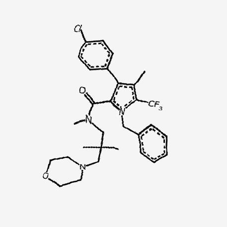 Cc1c(-c2ccc(Cl)cc2)c(C(=O)N(C)CC(C)(C)CN2CCOCC2)n(Cc2ccccc2)c1C(F)(F)F